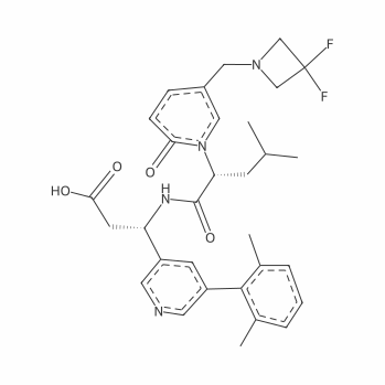 Cc1cccc(C)c1-c1cncc([C@H](CC(=O)O)NC(=O)[C@@H](CC(C)C)n2cc(CN3CC(F)(F)C3)ccc2=O)c1